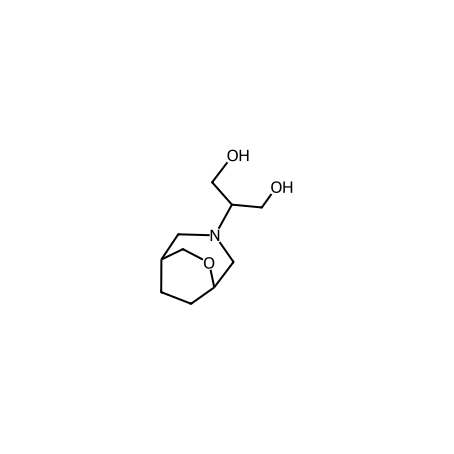 OCC(CO)N1CC2CCC(C1)OC2